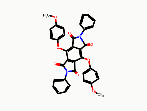 COc1ccc(Oc2c3c(=O)n(-c4ccccc4)c(=O)c3c(Oc3ccc(OC)cc3)c3c(=O)n(-c4ccccc4)c(=O)c23)cc1